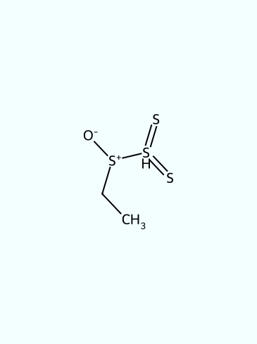 CC[S+]([O-])[SH](=S)=S